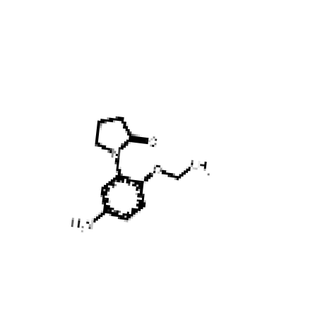 CCOc1ccc(N)cc1N1CCCC1=O